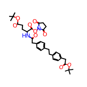 CC(C)(C)OC(=O)CCC(NC(=O)Cc1ccc(CCc2ccc(CC(=O)OC(C)(C)C)cc2)cc1)C(=O)ON1C(=O)CCC1=O